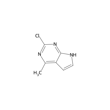 Cc1nc(Cl)nc2[nH]ccc12